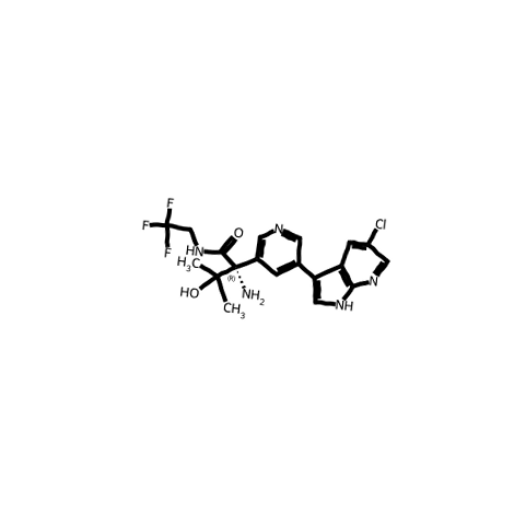 CC(C)(O)[C@@](N)(C(=O)NCC(F)(F)F)c1cncc(-c2c[nH]c3ncc(Cl)cc23)c1